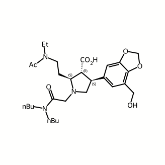 CCCCN(CCCC)C(=O)CN1C[C@H](c2cc(CO)c3c(c2)OCO3)[C@@H](C(=O)O)[C@@H]1CCN(CC)C(C)=O